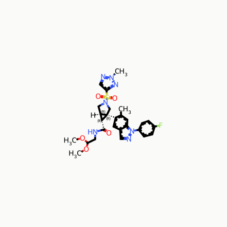 COC(CNC(=O)[C@@H]1[C@H]2CN(S(=O)(=O)c3cnn(C)n3)C[C@]21c1cc2cnn(-c3ccc(F)cc3)c2cc1C)OC